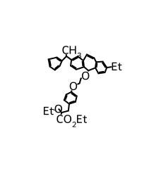 CCOC(=O)C(Cc1ccc(OCCOC2c3ccc(CC)cc3C=Cc3cc(C(C)c4ccccc4)ccc32)cc1)OCC